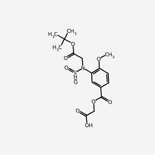 COc1ccc(C(=O)OCC(=O)O)cc1N(CC(=O)OC(C)(C)C)[SH](=O)=O